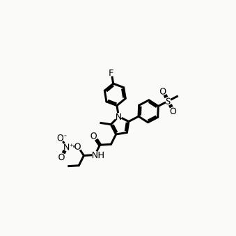 CCC(NC(=O)Cc1cc(-c2ccc(S(C)(=O)=O)cc2)n(-c2ccc(F)cc2)c1C)O[N+](=O)[O-]